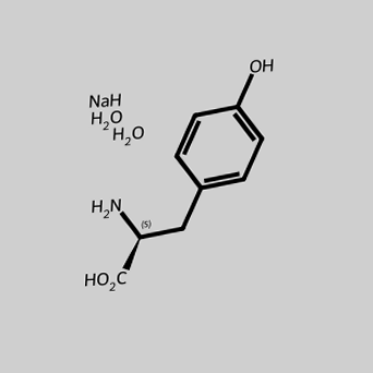 N[C@@H](Cc1ccc(O)cc1)C(=O)O.O.O.[NaH]